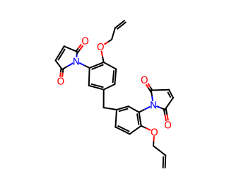 C=CCOc1ccc(Cc2ccc(OCC=C)c(N3C(=O)C=CC3=O)c2)cc1N1C(=O)C=CC1=O